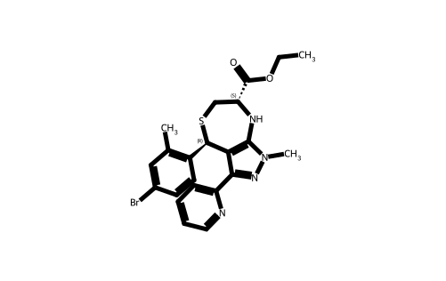 CCOC(=O)[C@H]1CS[C@H](c2ccc(Br)cc2C)c2c(-c3ccccn3)nn(C)c2N1